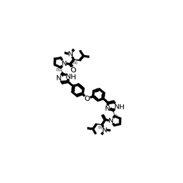 C=C([C@H](CC(C)C)N(C)C)N1CCC[C@H]1c1nc(-c2cccc(Oc3ccc(-c4cnc([C@@H]5CCCN5C(=O)[C@H](CC(C)C)N(C)C)[nH]4)cc3)c2)c[nH]1